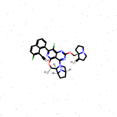 C#Cc1c(F)ccc2cccc(-c3nc4c5c(nc(OC[C@@]67CCCN6CCC7=C)nc5c3F)N3C[C@H]5CC[C@H](N5)[C@H]3[C@H](C)O4)c12